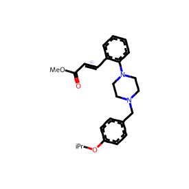 COC(=O)/C=C/c1ccccc1N1CCN(Cc2ccc(OC(C)C)cc2)CC1